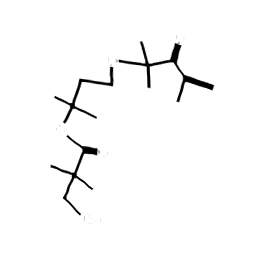 C=C(C)C(=O)C(C)(C)OCCC(C)(C)OC(=O)C(C)(C)CC(C)(C)C